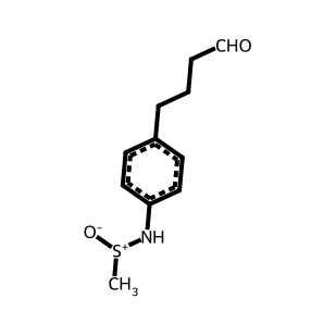 C[S+]([O-])Nc1ccc(CCCC=O)cc1